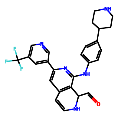 O=CC1NC=Cc2cc(-c3cncc(C(F)(F)F)c3)nc(Nc3ccc(C4CCNCC4)cc3)c21